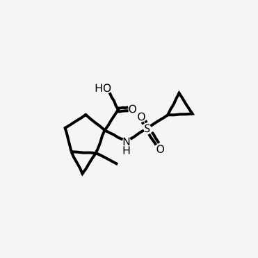 CC12CC1CCC2(NS(=O)(=O)C1CC1)C(=O)O